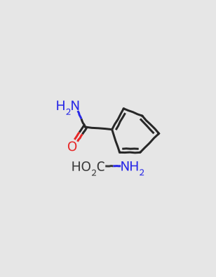 NC(=O)O.NC(=O)c1ccccc1